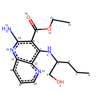 CCCC(CO)Nc1c(C(=O)OCC)c(N)nc2cccnc12